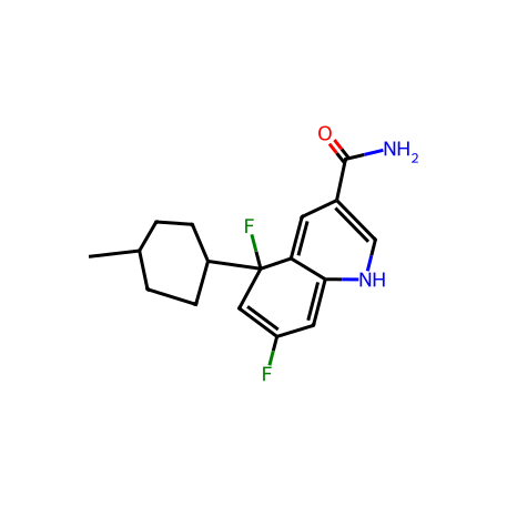 CC1CCC(C2(F)C=C(F)C=C3NC=C(C(N)=O)C=C32)CC1